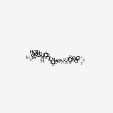 CCC(CC)(CC(=O)Nc1cccc(C=Cc2cccc(COCCCCc3ccc(OC(C)C)cc3)n2)c1)C(=O)O